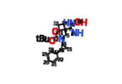 CC(C)(C)OC(=O)N(CC1(C(=N)NO)CCC1)C1CC1c1ccccc1